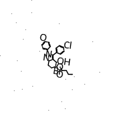 CCCC(=O)OC1(Br)CCc2nn(-c3ccc(OC)cc3)c(-c3ccc(Cl)cc3)c2C1O